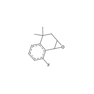 CC1(C)CC2OC2c2c(F)cccc21